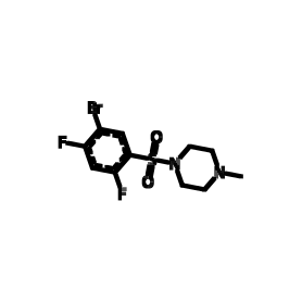 CN1CCN(S(=O)(=O)c2cc(Br)c(F)cc2F)CC1